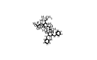 CC[C@H](C)C(NC(=O)C(=O)C(C)(C)NC(=O)[C@H](Cc1ccccc1)NC(=O)Cc1ccccc1)C(=O)NC(C)(C)C(=O)O